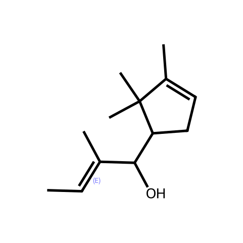 C/C=C(\C)C(O)C1CC=C(C)C1(C)C